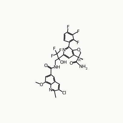 COc1cc(C(=O)NCC(O)(c2cc3c(c(-c4ccc(F)c(F)c4F)n2)OC[C@]3(C)C(N)=O)C(F)(F)F)cc2cc(Cl)c(C)nc12